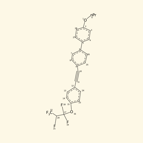 CCCOc1ccc(-c2ccc(C#Cc3ccc(OC(F)(F)C(F)C(F)(F)F)cc3)cc2)cc1